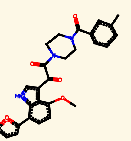 COc1ccc(-c2ccco2)c2[nH]cc(C(=O)C(=O)N3CCN(C(=O)c4cccc(C)c4)CC3)c12